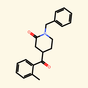 Cc1ccccc1C(=O)C1CCN(Cc2ccccc2)C(=O)C1